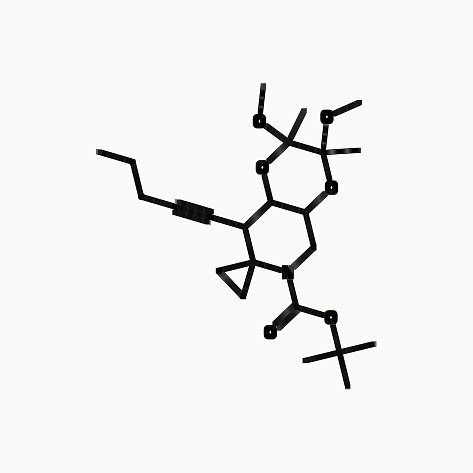 CCCC#CC1C2OC(C)(OC)C(C)(OC)OC2CN(C(=O)OC(C)(C)C)C12CC2